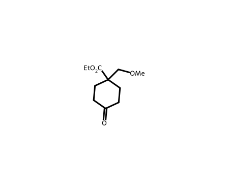 CCOC(=O)C1(COC)CCC(=O)CC1